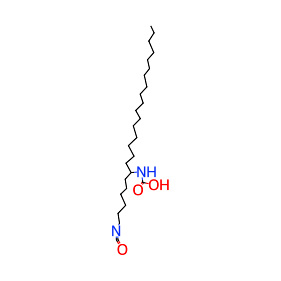 CCCCCCCCCCCCCCCCCC(CCCCCCN=C=O)NC(=O)O